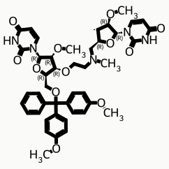 COc1ccc(C(OC[C@H]2O[C@@H](n3ccc(=O)[nH]c3=O)[C@H](OC)[C@@H]2OCCN(C)C[C@H]2[CH][C@@H](OC)[C@H](n3ccc(=O)[nH]c3=O)O2)(c2ccccc2)c2ccc(OC)cc2)cc1